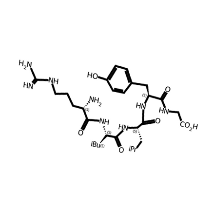 CC[C@H](C)[C@H](NC(=O)[C@@H](N)CCCNC(=N)N)C(=O)N[C@@H](CC(C)C)C(=O)N[C@@H](Cc1ccc(O)cc1)C(=O)NCC(=O)O